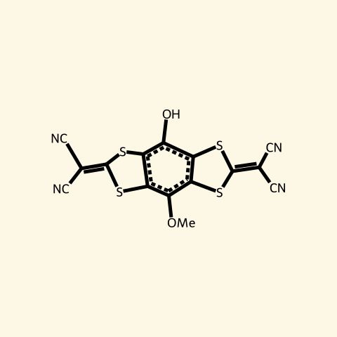 COc1c2c(c(O)c3c1SC(=C(C#N)C#N)S3)SC(=C(C#N)C#N)S2